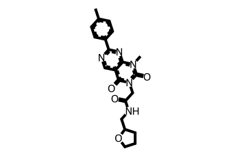 Cc1ccc(-c2ncc3c(=O)n(CC(=O)NCC4CCCO4)c(=O)n(C)c3n2)cc1